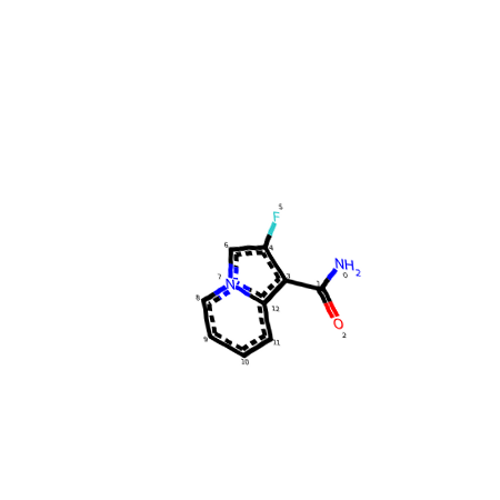 NC(=O)c1c(F)cn2ccccc12